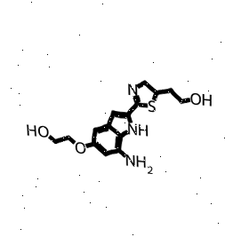 Nc1cc(OCCO)cc2cc(C3=NCC(CCO)S3)[nH]c12